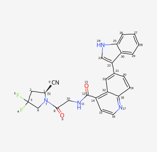 N#C[C@@H]1CC(F)(F)CN1C(=O)CNC(=O)c1ccnc2ccc(-c3c[nH]c4ccccc34)cc12